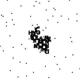 CCC(=O)Nc1cc(-c2sc(-c3ncc[nH]3)c(-c3ccc(Cl)cc3I)c2C#N)ccn1